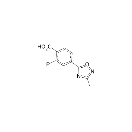 Cc1noc(-c2ccc(C(=O)O)c(F)c2)n1